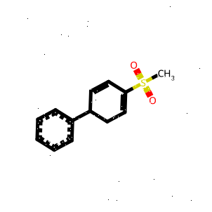 CS(=O)(=O)C1=CCC(c2ccccc2)C=C1